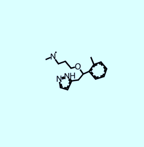 Cc1ccccc1C(Cc1ccn[nH]1)OCCCN(C)C